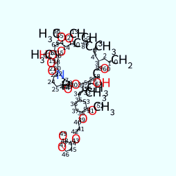 C=CC[C@@H]1/C=C(\C)C[C@H](C)C[C@H](OC)C2O[C@@](O)(C(=O)C(=O)N3CCCC[C@H]3C(=O)O[C@H](/C(C)=C/[C@@H]3CC[C@@H](OCCCOC4CCOC4=O)[C@H](OC)C3)[C@H](C)[C@@H](O)CC1=O)[C@H](C)C[C@@H]2OC